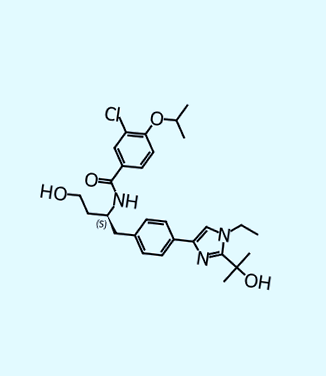 CCn1cc(-c2ccc(C[C@@H](CCO)NC(=O)c3ccc(OC(C)C)c(Cl)c3)cc2)nc1C(C)(C)O